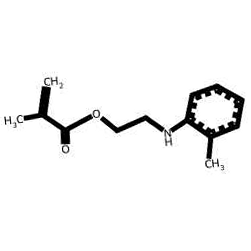 C=C(C)C(=O)OCCNc1ccccc1C